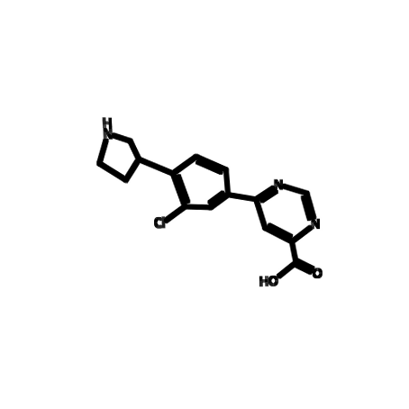 O=C(O)c1cc(-c2ccc(C3CCNC3)c(Cl)c2)ncn1